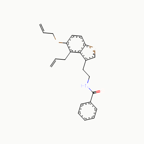 C=CCSc1ccc2scc(CCNC(=O)c3ccccc3)c2c1CC=C